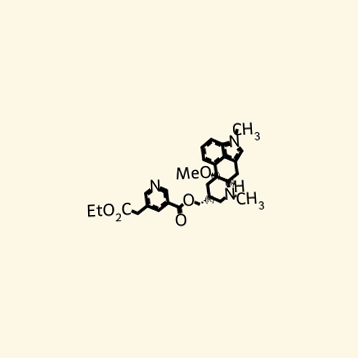 CCOC(=O)Cc1cncc(C(=O)OC[C@H]2CN(C)[C@@H]3Cc4cn(C)c5cccc(c45)[C@@]3(OC)C2)c1